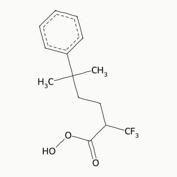 CC(C)(CCC(C(=O)OO)C(F)(F)F)c1ccccc1